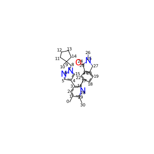 Cc1cc(-c2cnn(CC3(C)CCCC3)c2)c(-c2ccc3c(c2)C(=O)N(C)C3)nc1C